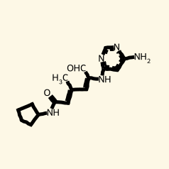 CC(=C\C(=O)NC1CCCC1)/C=C(\C=O)Nc1cc(N)ncn1